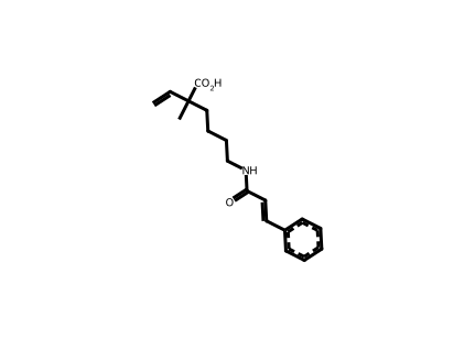 C=CC(C)(CCCCNC(=O)C=Cc1ccccc1)C(=O)O